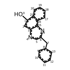 Oc1cc2ncc(Cc3ccccc3)nc2c2ccccc12